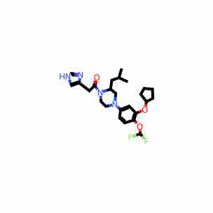 CC(C)CC1CN(c2ccc(OC(F)F)c(OC3CCCC3)c2)CCN1C(=O)Cc1c[nH]cn1